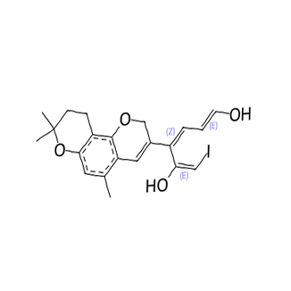 Cc1cc2c(c3c1C=C(C(=C/C=C/O)/C(O)=C\I)CO3)CCC(C)(C)O2